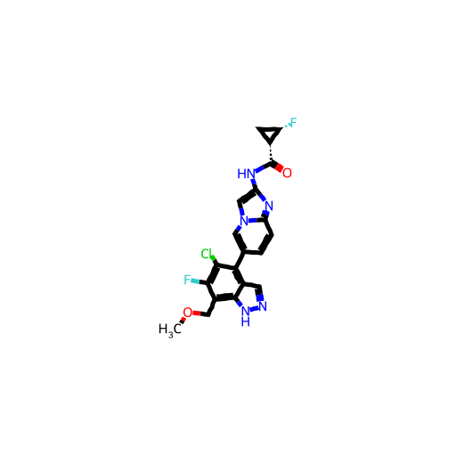 COCc1c(F)c(Cl)c(-c2ccc3nc(NC(=O)[C@@H]4C[C@@H]4F)cn3c2)c2cn[nH]c12